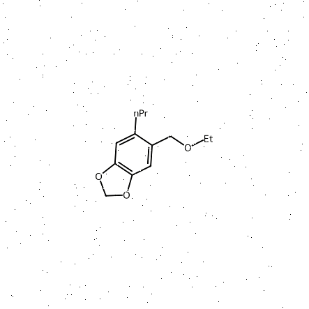 CCCc1cc2c(cc1COCC)OCO2